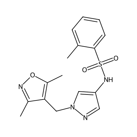 Cc1ccccc1S(=O)(=O)Nc1cnn(Cc2c(C)noc2C)c1